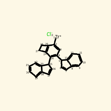 [Cl-].[Zr+][c]1cc(C2C=Cc3ccccc32)c(C2C=Cc3ccccc32)c2c1CC2